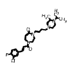 CC(C)N1CCN(CCCCN2CCN(C(=O)/C=C/c3ccc(F)c(Cl)c3)CCC2=O)CC1C